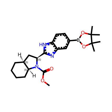 COC(=O)N1[C@H](c2nc3cc(B4OC(C)(C)C(C)(C)O4)ccc3[nH]2)C[C@@H]2CCCC[C@@H]21